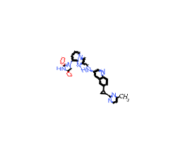 Cc1ccnc(C2CC2c2ccc3ncc(NCc4cn5cccc(N6CC(=O)NC6=O)c5n4)cc3c2)n1